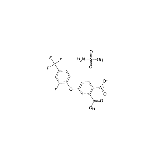 NS(=O)(=O)O.O=C(O)c1cc(Oc2ccc(C(F)(F)F)cc2F)ccc1[N+](=O)[O-]